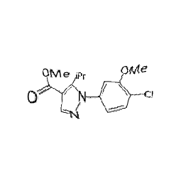 COC(=O)c1cnn(-c2ccc(Cl)c(OC)c2)c1C(C)C